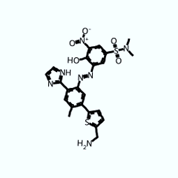 Cc1cc(-c2ncc[nH]2)c(N=Nc2cc(S(=O)(=O)N(C)C)cc([N+](=O)[O-])c2O)cc1-c1ccc(CN)s1